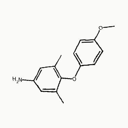 COc1ccc(Oc2c(C)cc(N)cc2C)cc1